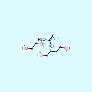 C=C(C)C.OCCCCO.OCCO